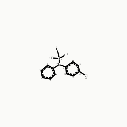 FS(F)(F)N(c1ccccc1)c1ccc(Cl)cc1